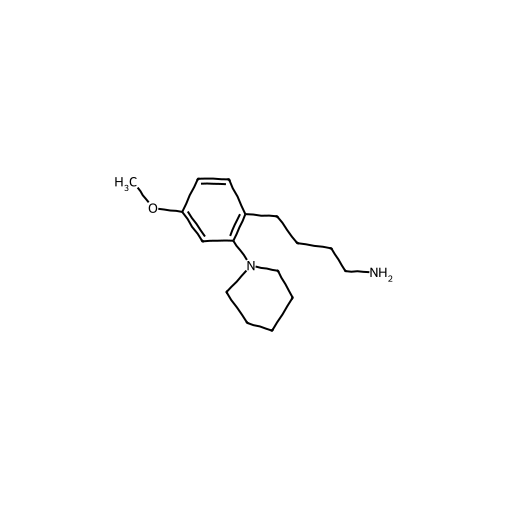 COc1ccc(CCCCN)c(N2CCCCC2)c1